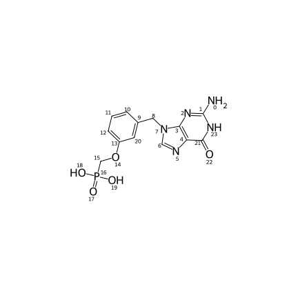 Nc1nc2c(ncn2Cc2cccc(OCP(=O)(O)O)c2)c(=O)[nH]1